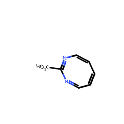 O=C(O)C1=N/C=C\C=C/C=N\1